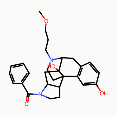 COCCCN1CCC23c4cc(O)ccc4CC1C2(O)CC1C3CCN1C(=O)c1ccccc1